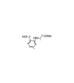 COCCNc1ccccc1CO